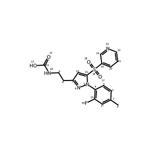 Cc1ccc(-n2nc(CCNC(=O)O)cc2S(=O)(=O)c2cccnc2)c(F)c1